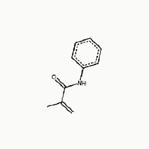 C=C(C)C(=O)Nc1cc[c]cc1